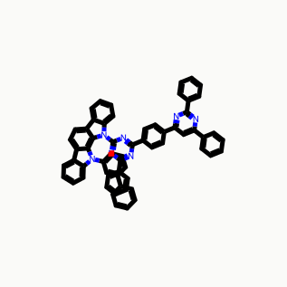 c1ccc(-c2cccc(-n3c4ccccc4c4ccc5c6ccccc6n(-c6nc(-c7ccccc7)nc(-c7ccc(-c8cc(-c9ccccc9)nc(-c9ccccc9)n8)cc7)n6)c5c43)c2)cc1